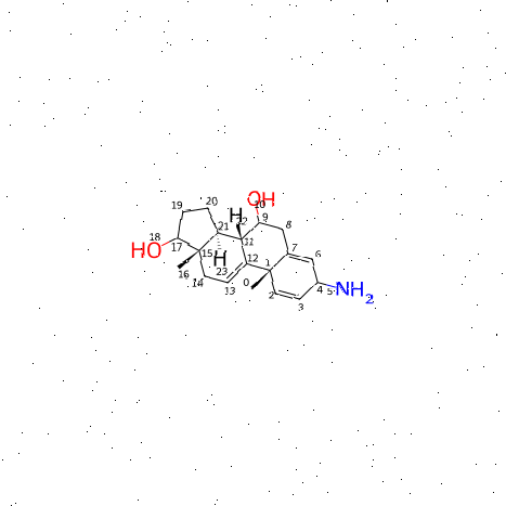 C[C@]12C=CC(N)C=C1CC(O)[C@@H]1C2=CC[C@]2(C)C(O)CC[C@@H]12